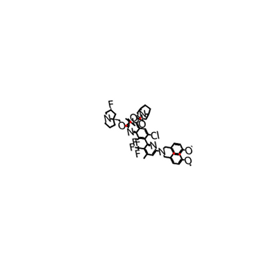 COc1ccc(CN(Cc2ccc(OC)cc2)c2cc(C)c(C(F)(F)F)c(-c3c(Cl)cc4c(N5CC6CCC(C5)N6C(=O)OC(C)(C)C)nc(OC[C@@]56CCCN5C[C@H](F)C6)nc4c3F)n2)cc1